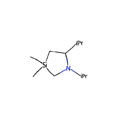 CC(C)C1C[Si](C)(C)CN1C(C)C